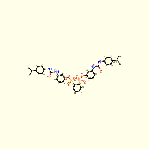 CC(C)c1ccc(NC(=O)Nc2cccc(OS(=O)(=O)c3ccccc3S(=O)(=O)Oc3cccc(NC(=O)Nc4ccc(C(C)C)cc4)c3)c2)cc1